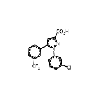 O=C(O)c1cc(-c2cccc(C(F)(F)F)c2)n(-c2cccc(Cl)c2)n1